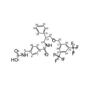 O=C(O)NCc1ccc(C(=O)NCC(COCc2cc(C(F)(F)F)cc(C(F)(F)F)c2)c2ccccc2)cc1